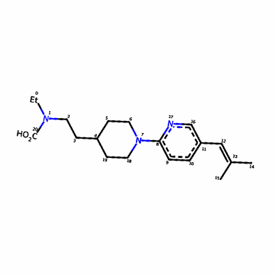 CCN(CCC1CCN(c2ccc(C=C(C)C)cn2)CC1)C(=O)O